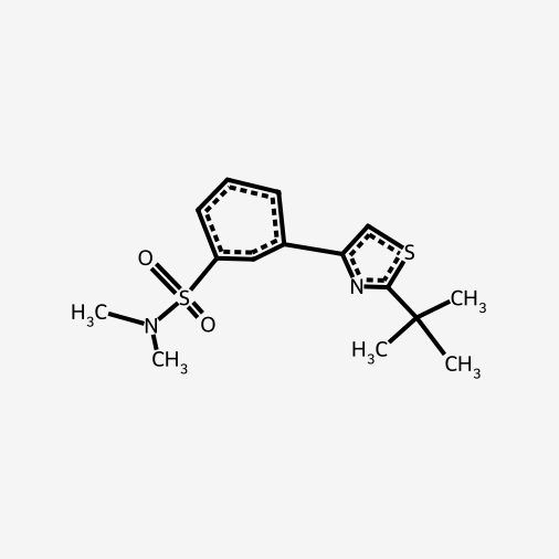 CN(C)S(=O)(=O)c1cccc(-c2csc(C(C)(C)C)n2)c1